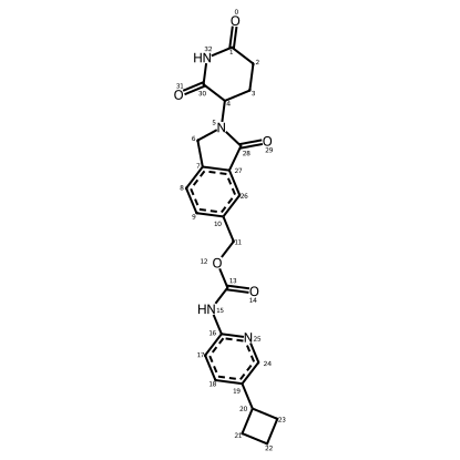 O=C1CCC(N2Cc3ccc(COC(=O)Nc4ccc(C5CCC5)cn4)cc3C2=O)C(=O)N1